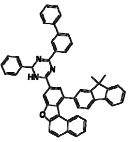 CC1(C)c2ccccc2-c2ccc(-c3cc(C4=NC(c5cccc(-c6ccccc6)c5)=NC(c5ccccc5)N4)cc4oc5ccc6ccccc6c5c34)cc21